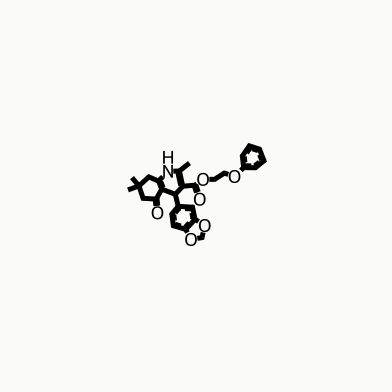 CC1=C(C(=O)OCCOc2ccccc2)C(c2ccc3c(c2)OCO3)C2=C(CC(C)(C)CC2=O)N1